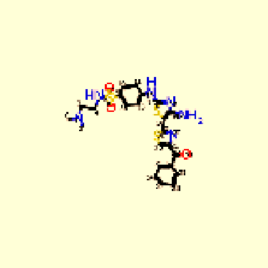 CN(C)CCNS(=O)(=O)c1ccc(Nc2nc(N)c(-c3nc(C(=O)c4ccccc4)cs3)s2)cc1